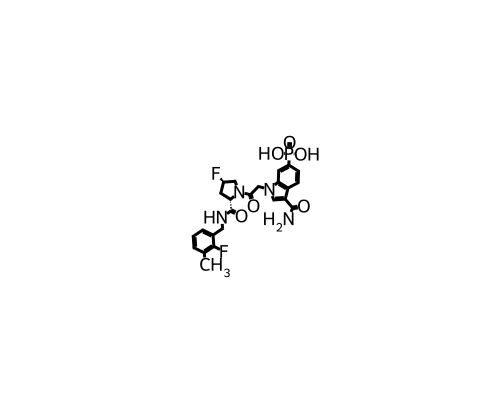 Cc1cccc(CNC(=O)[C@@H]2C[C@@H](F)CN2C(=O)Cn2cc(C(N)=O)c3ccc(P(=O)(O)O)cc32)c1F